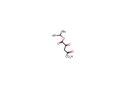 CCCCC(CCC)OC(=O)C(=O)CC(=O)C(=O)O